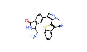 Cn1ncc(-c2ccc3c(c2)C(CN)NC3=O)c1-c1sc2ccccc2c1C#N